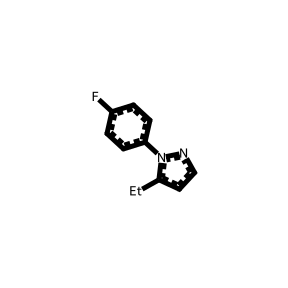 CCc1ccnn1-c1ccc(F)cc1